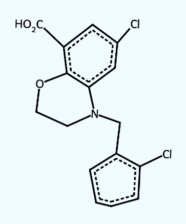 O=C(O)c1cc(Cl)cc2c1OCCN2Cc1ccccc1Cl